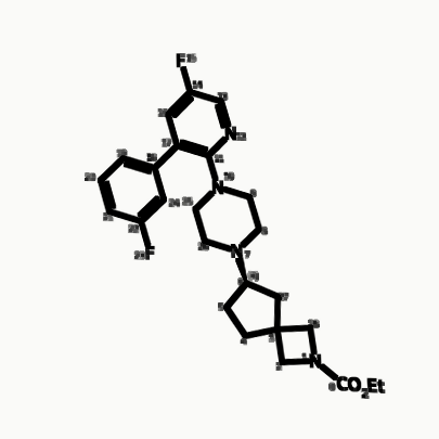 CCOC(=O)N1CC2(CC[C@@H](N3CCN(c4ncc(F)cc4-c4cccc(F)c4)CC3)C2)C1